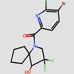 O=C(c1ccc(Br)c(Cl)n1)N1CC(F)(F)C(O)C12CCCC2